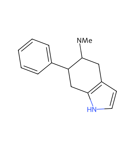 CNC1Cc2cc[nH]c2CC1c1ccccc1